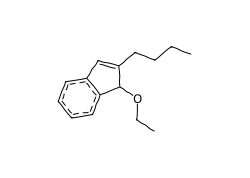 CCCCC1=Cc2ccccc2C1OCC